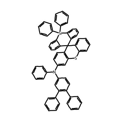 c1ccc(-c2ccc(N(c3ccccc3)c3ccc4c(c3)Sc3ccccc3C43c4ccccc4[Si](c4ccccc4)(c4ccccc4)c4ccccc43)cc2-c2ccccc2)cc1